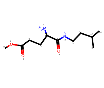 COC(=O)CCC(N)C(=O)NCCC(C)C